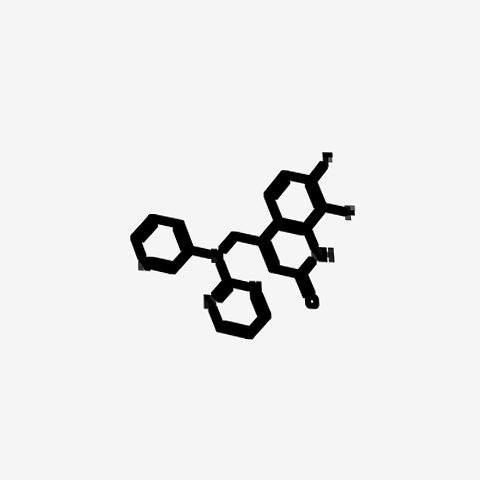 O=c1cc(CN(c2cccnc2)c2ncccn2)c2ccc(F)c(F)c2[nH]1